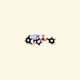 CNC1(C(=O)Nc2c(C)cccc2C)CCCN(C(=O)OCc2ccccc2)C1I